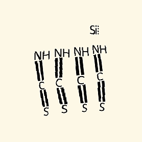 N=C=S.N=C=S.N=C=S.N=C=S.[Si]